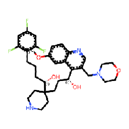 COc1ccc2ncc(CN3CCOCC3)c([C@H](O)CCC3([C@@H](O)CCCc4c(F)cc(F)cc4F)CCNCC3)c2c1